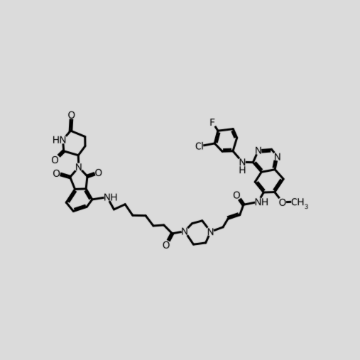 COc1cc2ncnc(Nc3ccc(F)c(Cl)c3)c2cc1NC(=O)/C=C/CN1CCN(C(=O)CCCCCCNc2cccc3c2C(=O)N(C2CCC(=O)NC2=O)C3=O)CC1